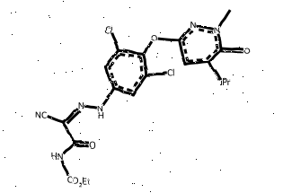 CCOC(=O)NC(=O)C(C#N)=NNc1cc(Cl)c(Oc2cc(C(C)C)c(=O)n(C)n2)c(Cl)c1